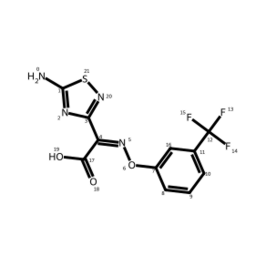 Nc1nc(C(=NOc2cccc(C(F)(F)F)c2)C(=O)O)ns1